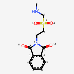 CNCS(=O)(=O)CCN1C(=O)c2ccccc2C1=O